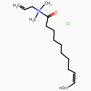 C=CC[N+](C)(C)C(=O)CCCCCCC/C=C\CCCCCCCC.[Cl-]